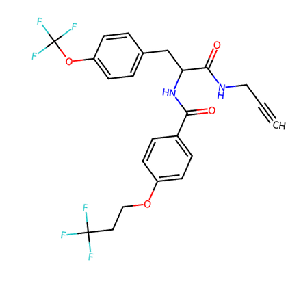 C#CCNC(=O)C(Cc1ccc(OC(F)(F)F)cc1)NC(=O)c1ccc(OCCC(F)(F)F)cc1